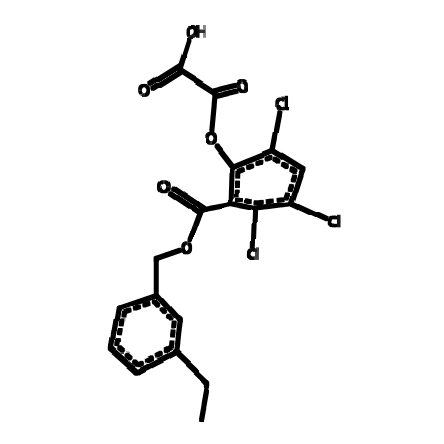 CCc1cccc(COC(=O)c2c(Cl)c(Cl)cc(Cl)c2OC(=O)C(=O)O)c1